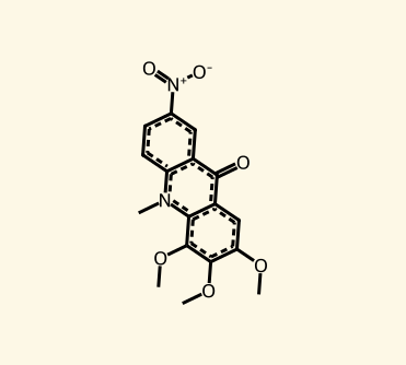 COc1cc2c(=O)c3cc([N+](=O)[O-])ccc3n(C)c2c(OC)c1OC